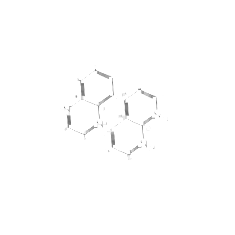 c1ccc2nccnc2c1.c1cnc2ncccc2c1